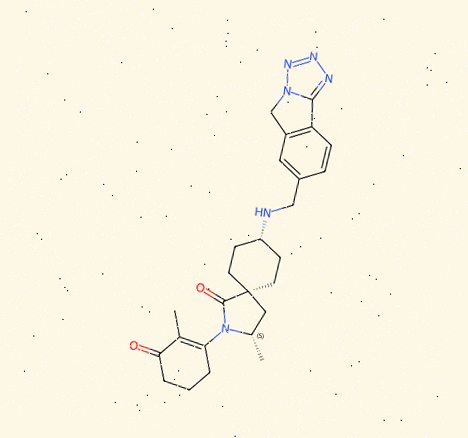 CC1=C(N2C(=O)[C@]3(CC[C@@H](NCc4ccc5c(c4)Cn4nnnc4-5)CC3)C[C@@H]2C)CCCC1=O